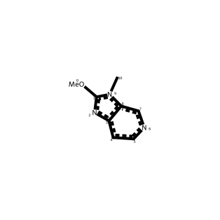 COc1nc2ccncc2n1C